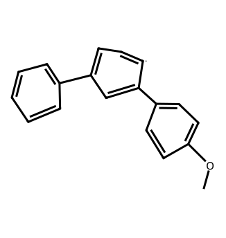 COc1ccc(-c2[c]ccc(-c3ccccc3)c2)cc1